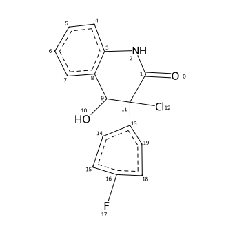 O=C1Nc2ccccc2C(O)C1(Cl)c1ccc(F)cc1